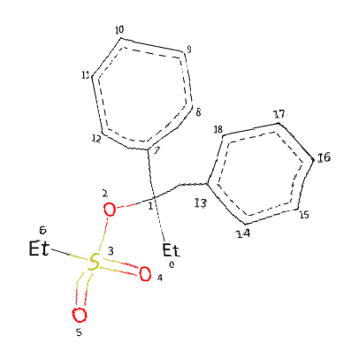 CCC(OS(=O)(=O)CC)(c1ccccc1)c1ccccc1